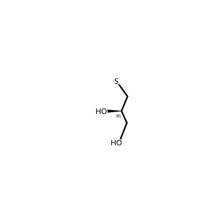 OC[C@@H](O)C[S]